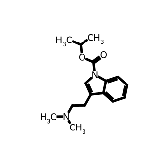 CC(C)OC(=O)n1cc(CCN(C)C)c2ccccc21